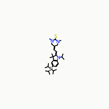 CC(C)N1/C(=C/C=C2CN(C)C(=S)N(C)C2)C(C)(C)c2cc([Si](C(C)C)(C(C)C)C(C)C)ccc21